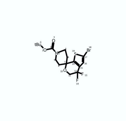 CC(C)(C)OC(=O)N1CCC2(CC1)OCC(F)(F)c1cc(Br)sc12